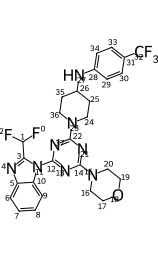 FC(F)c1nc2ccccc2n1-c1nc(N2CCOCC2)nc(N2CCC(Nc3ccc(C(F)(F)F)cc3)CC2)n1